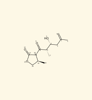 C=C(C)C[C@@H](O)[C@H](C)C(=O)N1C(=O)OC[C@@H]1C